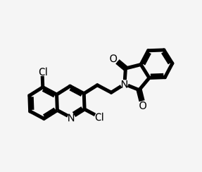 O=C1c2ccccc2C(=O)N1CCc1cc2c(Cl)cccc2nc1Cl